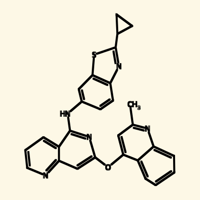 Cc1cc(Oc2cc3ncccc3c(Nc3ccc4nc(C5CC5)sc4c3)n2)c2ccccc2n1